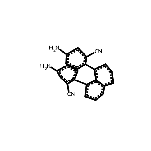 N#Cc1cc(N)ccc1-c1cccc2cccc(-c3ccc(N)cc3C#N)c12